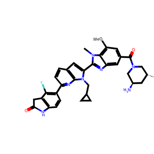 COc1cc(C(=O)N2C[C@H](N)C[C@@H](F)C2)cc2nc(-c3cc4ccc(-c5ccc6c(c5F)CC(=O)N6)nc4n3CC3CC3)n(C)c12